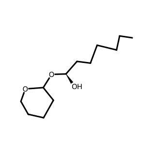 CCCCCC[C@@H](O)OC1CCCCO1